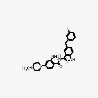 CN1CCN(c2ccc(C(=O)Nc3n[nH]c4ccc(Cc5cccc(F)c5)cc34)c(N)c2)CC1